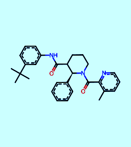 Cc1cccnc1C(=O)N1CCCC(C(=O)Nc2cccc(C(C)(C)C)c2)[C@@H]1c1ccccc1